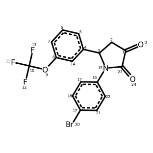 O=C1CC(c2cccc(OC(F)(F)F)c2)N(c2ccc(Br)cc2)C1=O